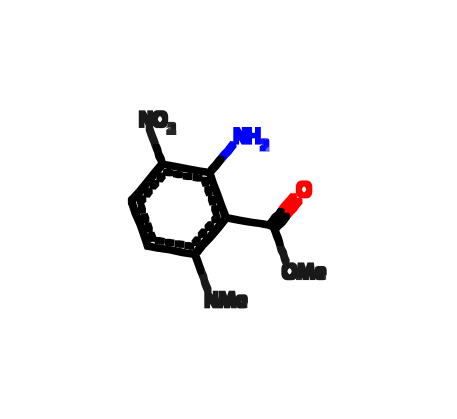 CNc1ccc([N+](=O)[O-])c(N)c1C(=O)OC